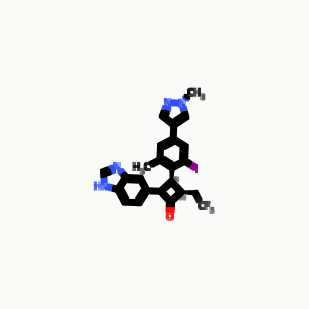 Cc1cc(-c2cnn(C)c2)cc(I)c1[C@@H]1C(c2ccc3[nH]cnc3c2)C(=O)[C@@H]1CC(F)(F)F